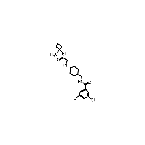 CC1(NC(=O)CN[C@H]2CC[C@H](CNC(=O)c3cc(Cl)cc(Cl)c3)CC2)CCC1